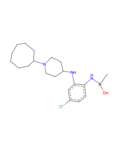 CB(O)Nc1ccc(Cl)cc1NC1CCN(C2CCCCCCC2)CC1